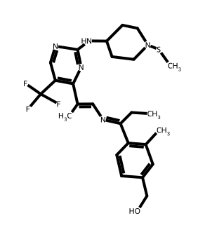 CC/C(=N\C=C(/C)c1nc(NC2CCN(SC)CC2)ncc1C(F)(F)F)c1ccc(CO)cc1C